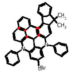 CC(C)(C)c1cc(N(c2ccccc2)c2ccccc2)c(-c2ccc3ccccc3c2)c(N(c2ccccc2)c2ccc3c(c2)C(C)(C)c2ccccc2-3)c1